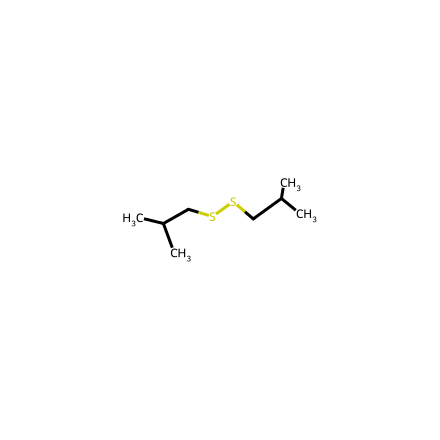 CC(C)CSSCC(C)C